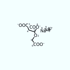 O=C([O-])COC(CC(=O)[O-])C(=O)[O-].[K+].[Na+].[Na+]